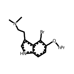 CCCOc1ccc2[nH]cc(CCN(C)C)c2c1Br